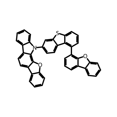 c1ccc2c(c1)oc1c(-c3cccc4sc5cc(-n6c7ccccc7c7ccc8c9ccccc9oc8c76)ccc5c34)cccc12